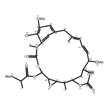 CNC(C)C(=O)OC1CC(=O)N(C)c2cc(cc(OC)c2Cl)C/C(C)=C/C=C/C(OC)C2(O)CC(OC(=O)N2)C(C)C2OC12